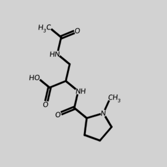 CC(=O)NCC(NC(=O)C1CCCN1C)C(=O)O